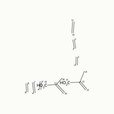 C=C.C=C.C=C.C=C.C=C.C=C.C=C(C)C(=O)O.C=C(C)C(=O)O